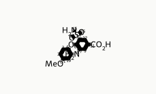 COc1ccc(Oc2c(N)cc(C(=O)O)cc2S(N)(=O)=O)cc1